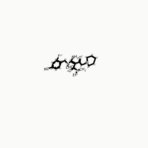 CCN(C)C(=O)/C(C(=O)CN1CCCCC1)=C(/N)N(C=O)Cc1ccc(C#N)cc1F